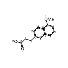 COc1cccc2cc(CCC([O])=O)ccc12